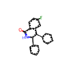 O=c1[nH]c(-c2ccccc2)c(-c2ccccc2)c2cc(F)ccc12